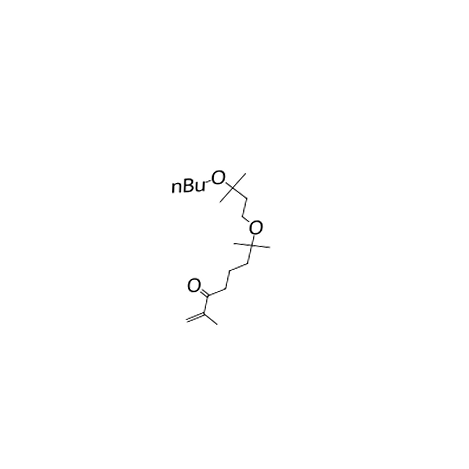 C=C(C)C(=O)CCCC(C)(C)OCCC(C)(C)OCCCC